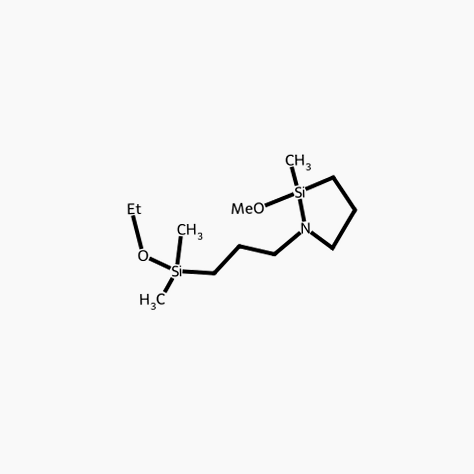 CCO[Si](C)(C)CCCN1CCC[Si]1(C)OC